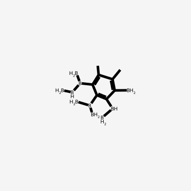 BBB(B)c1c(C)c(C)c(B)c(BB)c1B(B)B